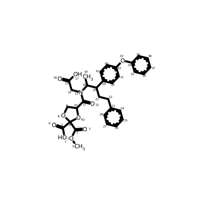 COC(=O)C1(C(=O)O)OCC(C(=O)N(CC(=O)O)C(C)C(CCc2ccccc2)c2ccc(Oc3ccccc3)cc2)O1